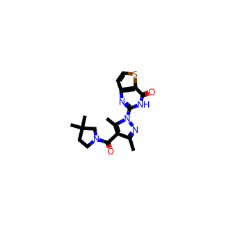 Cc1nn(-c2nc3ccsc3c(=O)[nH]2)c(C)c1C(=O)N1CCC(C)(C)C1